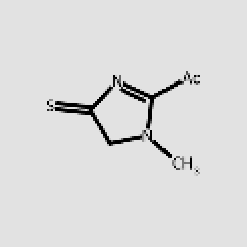 CC(=O)C1=NC(=S)CN1C